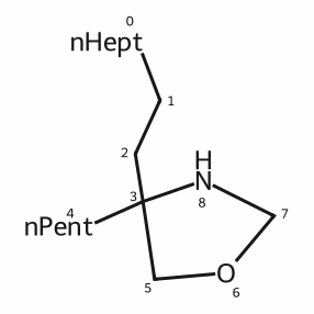 CCCCCCCCCC1(CCCCC)COCN1